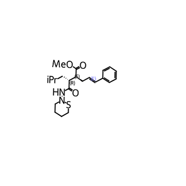 COC(=O)[C@@H](C/C=C/c1ccccc1)[C@@H](CC(C)C)C(=O)NN1CCCCS1